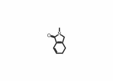 CN1CC2=C(C=CCC2)C1=O